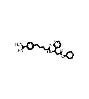 N=C(N)c1ccc(CCCCC(=O)NC(CC(=O)OC2CCCCC2)c2cccnc2)cc1